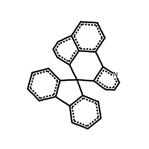 c1ccc2c(c1)-c1ccccc1C21c2cccnc2-c2cccc3cccc1c23